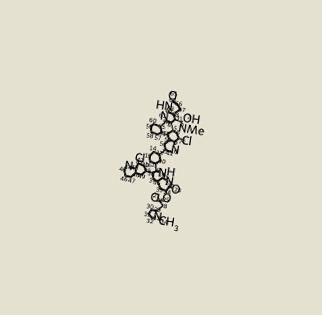 CNC(O)c1c(-c2cc(Cl)c3ncc(-c4cccc(-c5nc6[nH]c(=O)c(OC(=O)Cc7cccn7C)cc6cc5-c5cc(Cl)c6ncccc6c5)c4)cc3c2)c(-c2ccccc2)nc2[nH]c(=O)ccc12